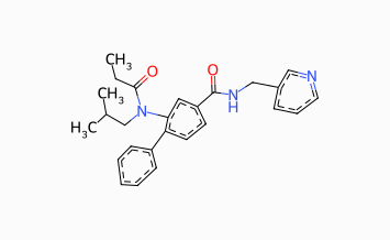 CCC(=O)N(CC(C)C)c1cc(C(=O)NCc2cccnc2)ccc1-c1ccccc1